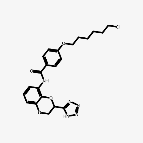 O=C(Nc1cccc2c1OC(c1nnn[nH]1)CO2)c1ccc(OCCCCCCCl)cc1